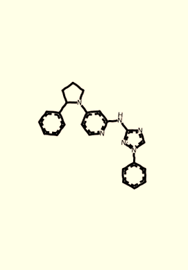 c1ccc(C2CCCN2c2ccnc(Nc3ncn(-c4ccccc4)n3)c2)cc1